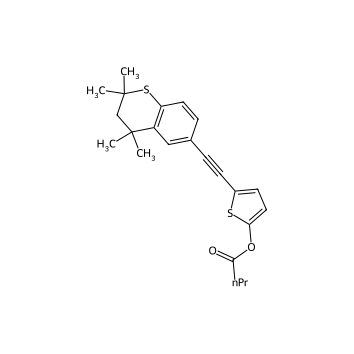 CCCC(=O)Oc1ccc(C#Cc2ccc3c(c2)C(C)(C)CC(C)(C)S3)s1